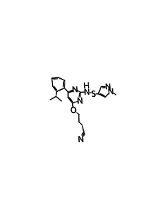 CC(C)c1ccccc1-c1cc(OCCCC#N)nc(NSc2cnn(C)c2)n1